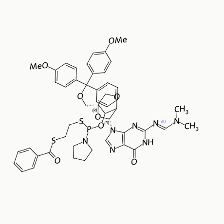 COc1ccc(C(OC[C@]23COC(C2OP(SCCSC(=O)c2ccccc2)N2CCCC2)[C@H](n2cnc4c(=O)[nH]c(/N=C/N(C)C)nc42)O3)(c2ccccc2)c2ccc(OC)cc2)cc1